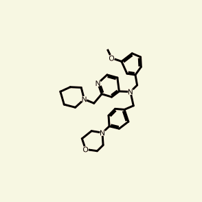 COc1cccc(CN(Cc2ccc(N3CCOCC3)cc2)c2ccnc(CN3CCCCC3)c2)c1